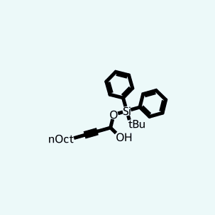 CCCCCCCCC#CC(O)O[Si](c1ccccc1)(c1ccccc1)C(C)(C)C